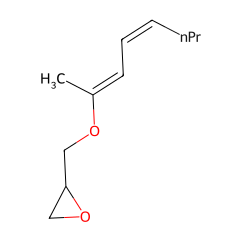 CCC/C=C\C=C(/C)OCC1CO1